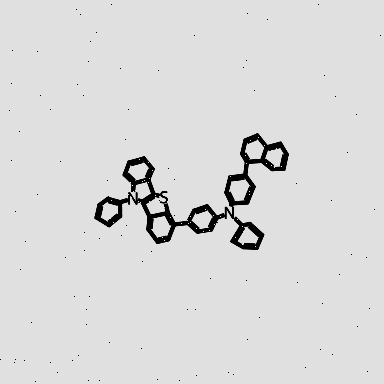 c1ccc(N(c2ccc(-c3cccc4ccccc34)cc2)c2ccc(-c3cccc4c3sc3c5ccccc5n(-c5ccccc5)c43)cc2)cc1